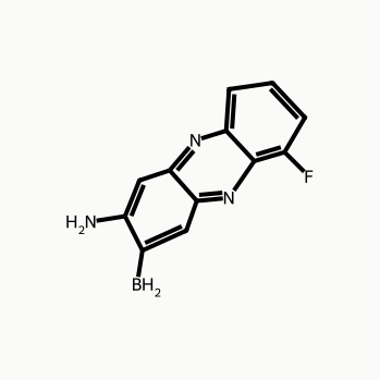 Bc1cc2nc3c(F)cccc3nc2cc1N